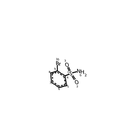 NS(=O)(=O)c1cc[c]cc1Br